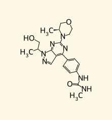 CNC(=O)Nc1ccc(-c2nc(N3CCOC[C@@H]3C)nc3c2cnn3C(C)CO)cc1